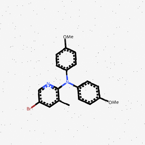 COc1ccc(N(c2ccc(OC)cc2)c2ncc(Br)cc2C)cc1